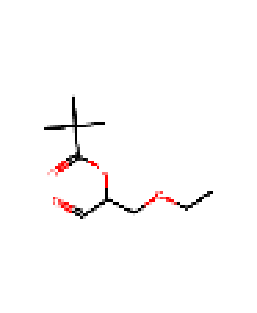 CCOCC(C=O)OC(=O)C(C)(C)C